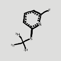 [2H]C([2H])([2H])Sc1cccc(F)n1